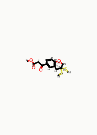 COC(=O)CC(=O)c1ccc2c(c1)CC(SC)(SC)CO2